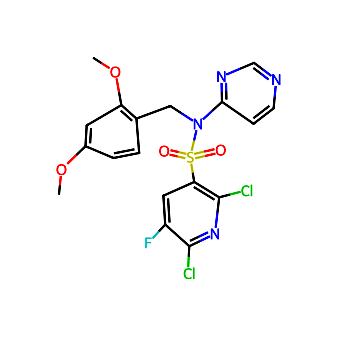 COc1ccc(CN(c2ccncn2)S(=O)(=O)c2cc(F)c(Cl)nc2Cl)c(OC)c1